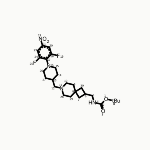 CC(C)(C)OC(=O)NCC1CC2(CCN(CC3CCN(c4c(F)cc([N+](=O)[O-])cc4F)CC3)CC2)C1